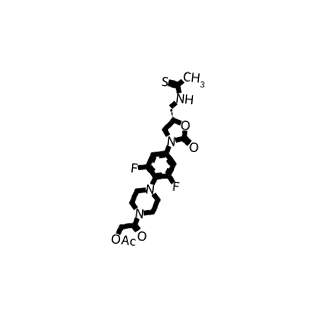 CC(=O)OCC(=O)N1CCN(c2c(F)cc(N3C[C@H](CNC(C)=S)OC3=O)cc2F)CC1